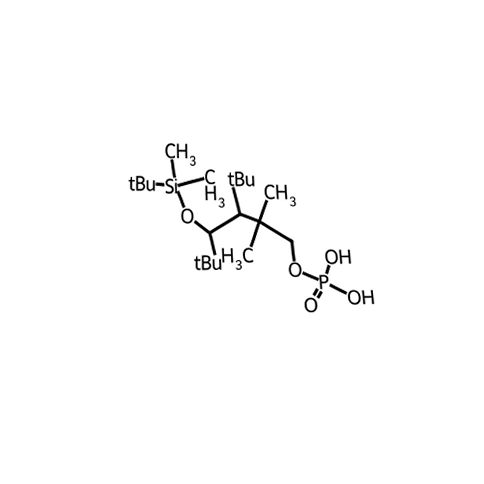 CC(C)(C)C(O[Si](C)(C)C(C)(C)C)C(C(C)(C)C)C(C)(C)COP(=O)(O)O